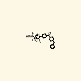 CCCCNC(=O)C1(C)CC(c2ccc(C(=O)N3CCC(Cc4ccccc4)CC3)cc2)=NO1